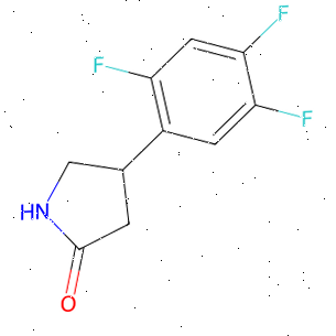 O=C1CC(c2cc(F)c(F)cc2F)CN1